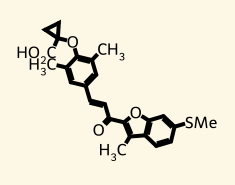 CSc1ccc2c(C)c(C(=O)/C=C/c3cc(C)c(OC4(C(=O)O)CC4)c(C)c3)oc2c1